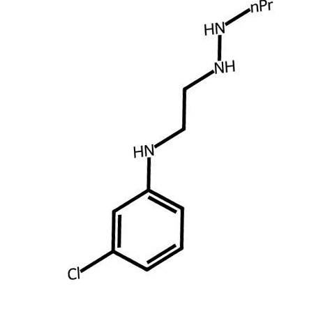 CCCNNCCNc1cccc(Cl)c1